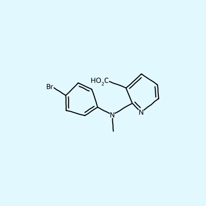 CN(c1ccc(Br)cc1)c1ncccc1C(=O)O